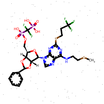 CSCCNc1nc(SCCC(F)(F)F)nc2c1ncn2[C@@H]1O[C@H](COP(=O)(O)C(F)(F)P(=O)(O)O)[C@H]2OC(c3ccccc3)O[C@H]21